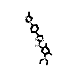 CCN(CC)c1cc(Nc2nc(-c3ccc(-n4cnc(C)c4)cc3)cs2)c(C)cc1C